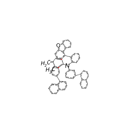 C=C(/C=C\C(=C/C)N(c1cccc(-c2cccc3ccccc23)c1)c1ccccc1-c1cccc2oc3ccccc3c12)c1ccc(-c2cccc3ccccc23)cc1